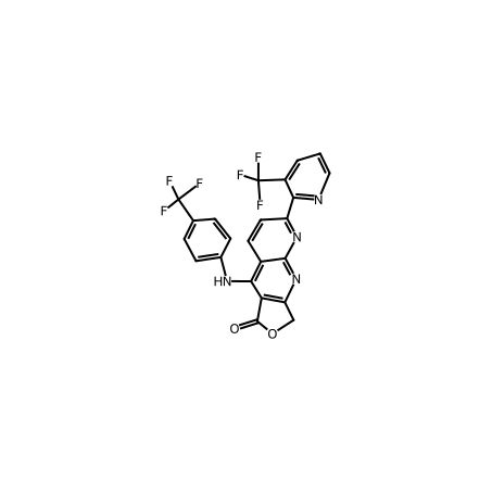 O=C1OCc2nc3nc(-c4ncccc4C(F)(F)F)ccc3c(Nc3ccc(C(F)(F)F)cc3)c21